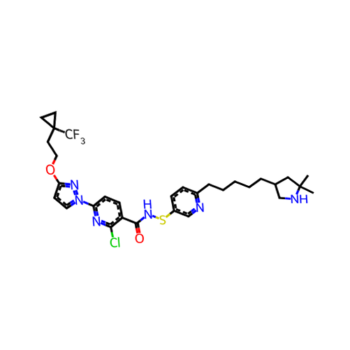 CC1(C)CC(CCCCCc2ccc(SNC(=O)c3ccc(-n4ccc(OCCC5(C(F)(F)F)CC5)n4)nc3Cl)cn2)CN1